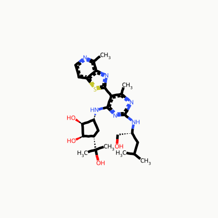 Cc1nc(N[C@@H](CO)CC(C)C)nc(N[C@@H]2C[C@H](C(C)(C)O)[C@@H](O)[C@H]2O)c1-c1nc2c(C)nccc2s1